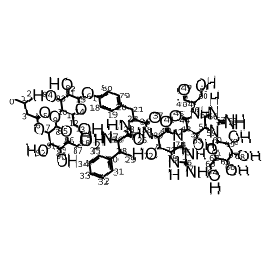 CC(C)CC(=O)OC1C(OC2C(CO)OC(Oc3ccc(CC(NC(=O)C(N)C(C)c4ccccc4)C(=O)NC(C(=O)NC(C(=O)NC([C]=O)CO)C(O)C4CNC(=N)N4C4OC(CO)C(O)C(O)C4O)C(O)C4CNC(=N)N4)cc3)C(O)C2O)OC(CO)C(O)C1O